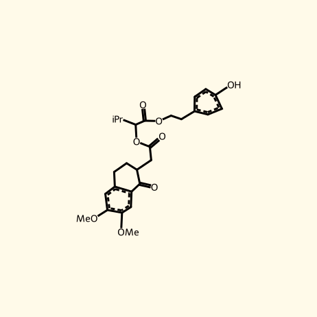 COc1cc2c(cc1OC)C(=O)C(CC(=O)OC(C(=O)OCCc1ccc(O)cc1)C(C)C)CC2